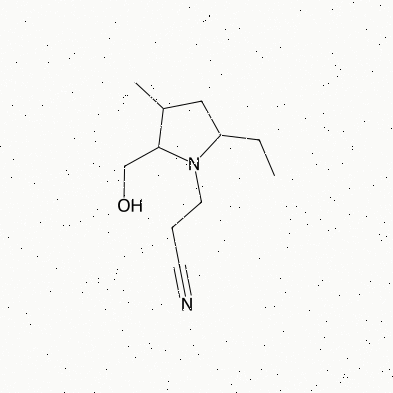 CCC1CC(C)C(CO)N1CCC#N